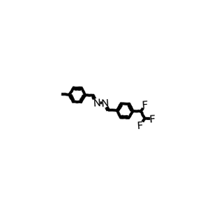 Cc1ccc(C=NN=Cc2ccc(C(F)C(F)F)cc2)cc1